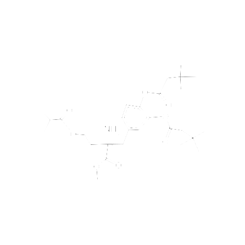 COC(=O)[C@@](N)(CCOC(=O)C(C)C)Cc1ccc(OC(=O)CC(C)(C)C)c(OC(=O)CC(C)(C)C)c1